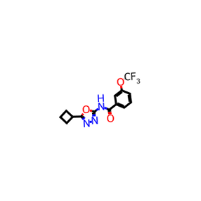 O=C(Nc1nnc(C2CCC2)o1)c1cccc(OC(F)(F)F)c1